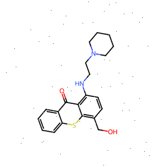 O=c1c2ccccc2sc2c(CO)ccc(NCCN3CCCCC3)c12